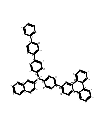 c1ccc(-c2ccc(-c3ccc(N(c4ccc(-c5ccc6c7ccccc7c7ccccc7c6c5)cc4)c4ccc5ccccc5c4)cc3)cc2)cc1